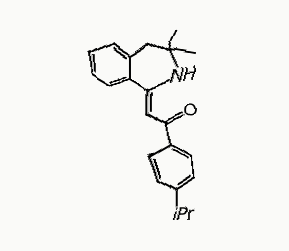 CC(C)c1ccc(C(=O)C=C2NC(C)(C)Cc3ccccc32)cc1